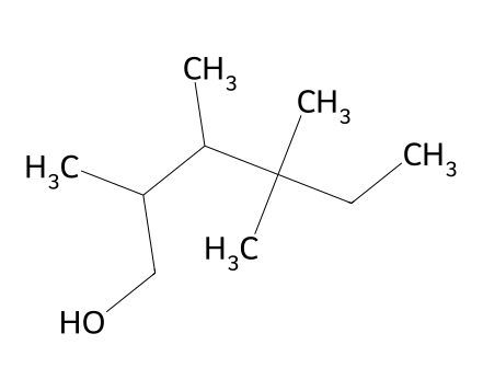 CCC(C)(C)C(C)C(C)CO